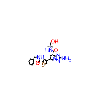 C[C@H](NC(=O)c1cc(-c2cc(C(=O)NC(C)(C)CO)c3nc(N)nn3c2)cs1)c1ccccc1